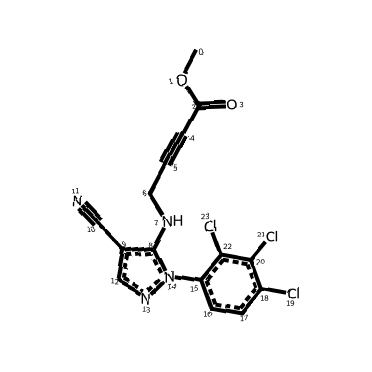 COC(=O)C#CCNc1c(C#N)cnn1-c1ccc(Cl)c(Cl)c1Cl